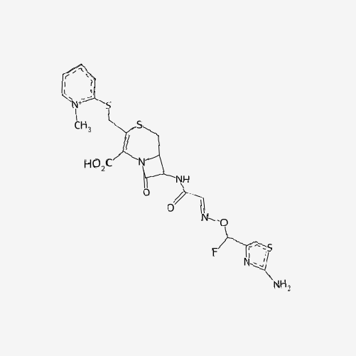 C[n+]1ccccc1SCC1=C(C(=O)O)N2C(=O)C(NC(=O)C=NOC(F)c3csc(N)n3)C2CS1